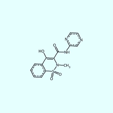 CN1C(C(=O)Nc2cnccn2)=C(O)c2ccccc2S1(=O)=O